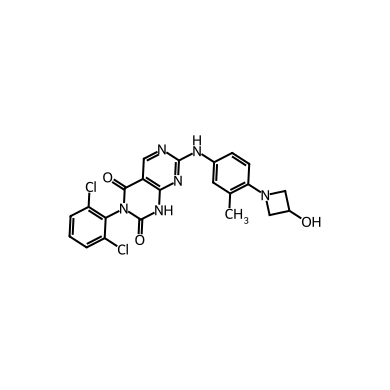 Cc1cc(Nc2ncc3c(=O)n(-c4c(Cl)cccc4Cl)c(=O)[nH]c3n2)ccc1N1CC(O)C1